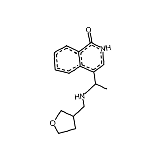 CC(NCC1CCOC1)c1c[nH]c(=O)c2ccccc12